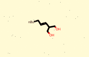 CCCCCC=CC(CO)CO